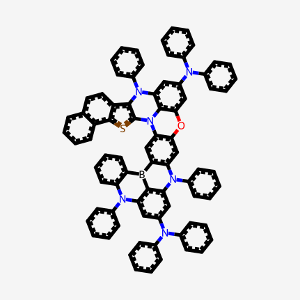 c1ccc(N(c2ccccc2)c2cc3c4c(c2)N(c2ccccc2)c2cc5c(cc2B4c2ccccc2N3c2ccccc2)N2c3sc4c(ccc6ccccc64)c3N(c3ccccc3)c3cc(N(c4ccccc4)c4ccccc4)cc(c32)O5)cc1